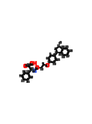 CC1CC(c2ccc(OCCON=C(C(=O)O)c3ccccc3)cc2)c2ccccc21